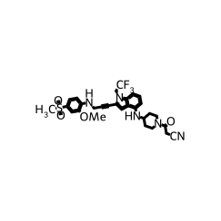 COc1cc(S(C)(=O)=O)ccc1NCC#Cc1cc2c(NC3CCN(C(=O)CC#N)CC3)cccc2n1CC(F)(F)F